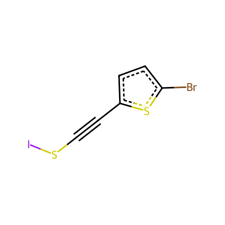 Brc1ccc(C#CSI)s1